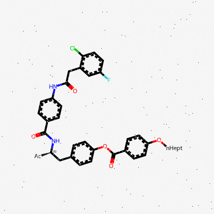 CCCCCCCOc1ccc(C(=O)Oc2ccc(C[C@H](NC(=O)c3ccc(NC(=O)Cc4cc(F)ccc4Cl)cc3)C(C)=O)cc2)cc1